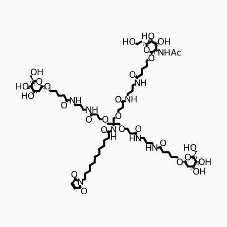 CC(=O)N[C@H]1[C@H](OCCCCC(=O)NCCCNC(=O)CCOCC(COCCC(=O)NCCCNC(=O)CCCCO[C@H]2C[C@@H](O)[C@@H](O)[C@@H](CO)O2)(COCCC(=O)NCCCNC(=O)CCCCO[C@H]2C[C@@H](O)[C@@H](O)[C@@H](CO)O2)NC(=O)CCCCCCCCCCCN2C(=O)C=CC2=O)O[C@H](CCO)[C@H](O)[C@@H]1O